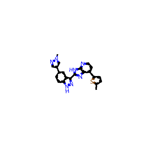 Cc1ccc(-c2ccnc3[nH]c(-c4n[nH]c5ccc(-c6cnn(C)c6)cc45)nc23)s1